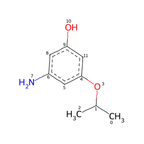 CC(C)Oc1cc(N)cc(O)c1